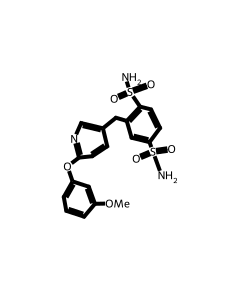 COc1cccc(Oc2ccc(Cc3cc(S(N)(=O)=O)ccc3S(N)(=O)=O)cn2)c1